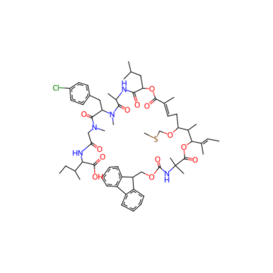 C/C=C(\C)C(OC(=O)C(C)(C)NC(=O)OCC1c2ccccc2-c2ccccc21)C(C)C(C/C=C(\C)C(=O)OC(CC(C)C)C(=O)NC(C)C(=O)N(C)C(Cc1ccc(Cl)cc1)C(=O)N(C)CC(=O)NC(C(=O)O)C(C)CC)OCSC